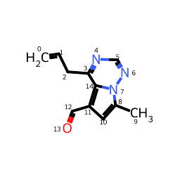 C=CCc1ncnn2c(C)cc(C=O)c12